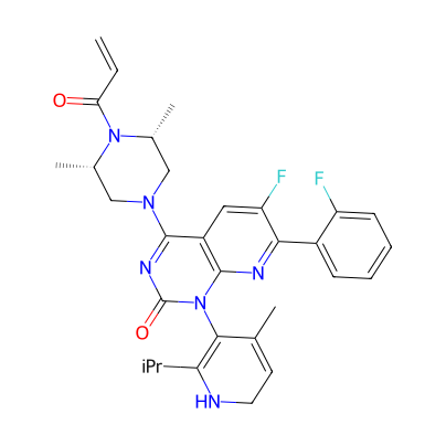 C=CC(=O)N1[C@H](C)CN(c2nc(=O)n(C3=C(C(C)C)NCC=C3C)c3nc(-c4ccccc4F)c(F)cc23)C[C@@H]1C